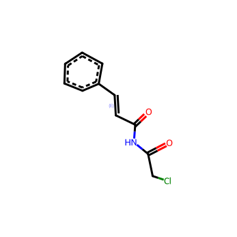 O=C(/C=C/c1ccccc1)NC(=O)CCl